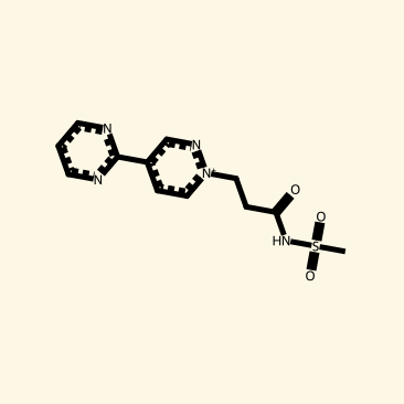 CS(=O)(=O)NC(=O)CC[n+]1ccc(-c2ncccn2)cn1